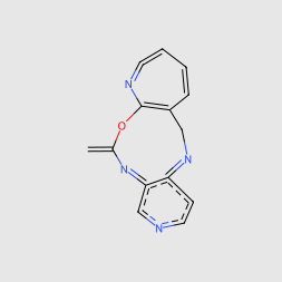 C=C1/N=c2/cncc/c2=N/CC2=C(N=C=CC=C2)O1